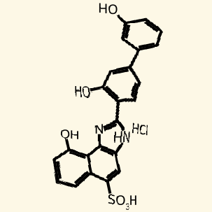 Cl.O=S(=O)(O)c1cc2[nH]c(-c3ccc(-c4cccc(O)c4)cc3O)nc2c2c(O)cccc12